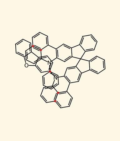 c1ccc(-c2cc3c(cc2N(c2ccccc2)c2ccccc2)C2(c4ccccc4-3)c3ccccc3-c3cc(-c4ccccc4)c(N(c4ccccc4)c4ccc5c(c4)oc4ccccc45)cc32)cc1